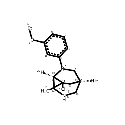 CCOc1cccc(N2C[C@H]3CNC[C@@H]2C(C)(C)C3)c1